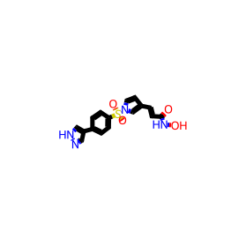 O=C(C=Cc1ccn(S(=O)(=O)c2ccc(-c3cn[nH]c3)cc2)c1)NO